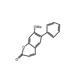 COc1cc2oc(=O)ccc2cc1-c1ccccc1